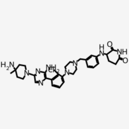 CC1(N)CCN(c2cnc(-c3cccc(N4CCN(Cc5cccc(NC6CCC(=O)NC6=O)c5)CC4)c3Cl)c(N)n2)CC1